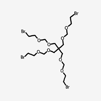 BrCCOCOCC(COCOCCBr)(COCOCCBr)COCOCCBr